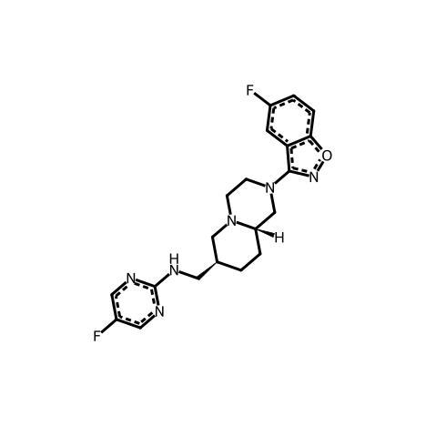 Fc1cnc(NC[C@@H]2CC[C@H]3CN(c4noc5ccc(F)cc45)CCN3C2)nc1